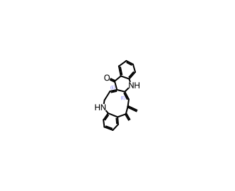 C=C1/C=c2/[nH]c3ccccc3c(=O)/c2=C/CNc2ccccc2C1=C